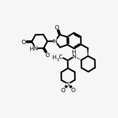 CC(N[C@H]1CCCC[C@@H]1Cc1ccc2c(c1)CN(C1CCC(=O)NC1=O)C2=O)C1CCS(=O)(=O)CC1